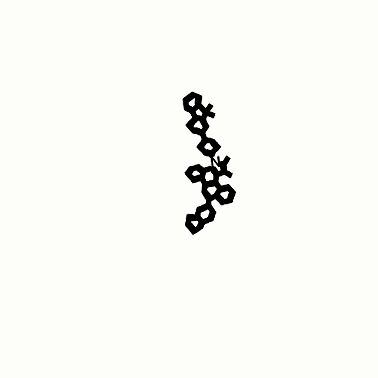 Cc1c(C)n(-c2ccc(-c3ccc4c(c3)C(C)(C)c3ccccc3-4)cc2)c2c3ccccc3c3cc(-c4ccc5ccccc5c4)c4ccccc4c3c12